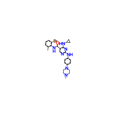 Cc1cccc(Br)c1NC(=O)c1cnc(Nc2ccc(N3CCN(C)CC3)cc2)nc1NC1CC1